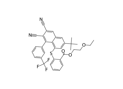 CCOCCOC(=O)c1ccccc1Sc1cc(C(C)(C)C)cc2cc(C#N)c(C#N)c(-c3cccc(C(F)(F)F)c3)c12